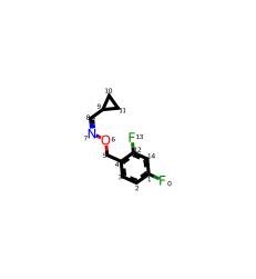 Fc1ccc(CO/N=[C]\C2CC2)c(F)c1